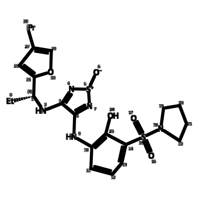 CC[C@@H](Nc1n[s+]([O-])nc1Nc1cccc(S(=O)(=O)N2CCCC2)c1O)c1cc(C(C)C)co1